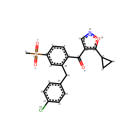 CS(=O)(=O)c1ccc(C(=O)c2cnoc2C2CC2)c(Cc2ccc(Cl)cc2)c1